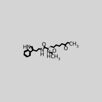 CCC(=O)CCCCC[C@H](NC(C)=O)C(=O)NCCc1c[nH]c2ccccc12